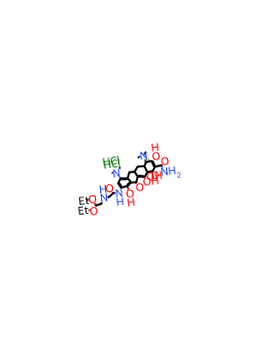 CCOC(CNCC(=O)Nc1cc(N(C)C)c2c(c1O)C(=O)C1=C(O)C3(O)C(=O)C(C(N)=O)=C(O)[C@@H](N(C)C)C3CC1C2)OCC.Cl.Cl